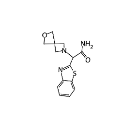 NC(=O)C(c1nc2ccccc2s1)N1CC2(COC2)C1